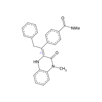 CNC(=O)c1ccc(/C(Cc2ccccc2)=C2/Nc3ccccc3N(C)C2=O)cc1